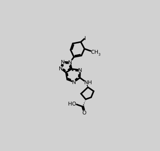 CC1C=C(n2nnc3cnc(N[C@@H]4CC[C@H](C(=O)O)C4)nc32)C=CC1I